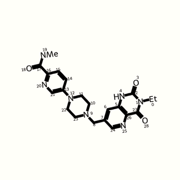 CCn1c(=O)[nH]c2cc(CN3CCN(c4ccc(C(=O)NC)nc4)CC3)cnc2c1=O